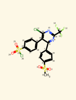 CS(=O)(=O)c1ccc(-c2nc(C(F)(F)F)nc(Cl)c2-c2ccc(S(=O)(=O)Cl)cc2)cc1